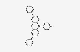 Cc1ccc(N2c3ccc(-c4ccccc4)cc3Cc3cc(-c4ccccc4)ccc32)cc1